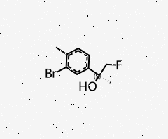 Cc1ccc([C@](C)(O)CF)cc1Br